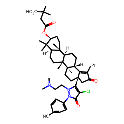 CC(C)C1=C2[C@H]3CC[C@@H]4[C@@]5(C)CC[C@H](OC(=O)CC(C)(C)C(=O)O)C(C)(C)[C@@H]5CC[C@@]4(C)[C@]3(C)CC[C@@]2(c2c(Cl)c(=O)n(-c3ccc(C#N)cc3)n2CCN(C)C)CC1=O